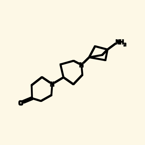 NC12CC(N3CCC(N4CCC(=O)CC4)CC3)(C1)C2